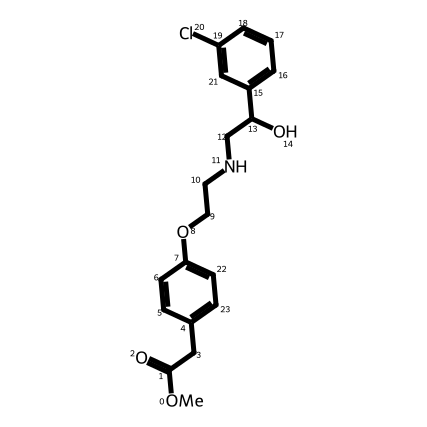 COC(=O)Cc1ccc(OCCNCC(O)c2cccc(Cl)c2)cc1